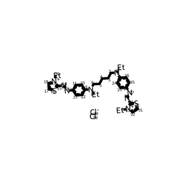 CCN(CCCCCN(CC)c1ccc(N=Nc2scc[n+]2CC)cc1)c1ccc(N=Nc2scc[n+]2CC)cc1.[Cl-].[Cl-]